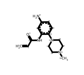 C=CC(=O)Nc1cc(N)ccc1N1CCN(C)CC1